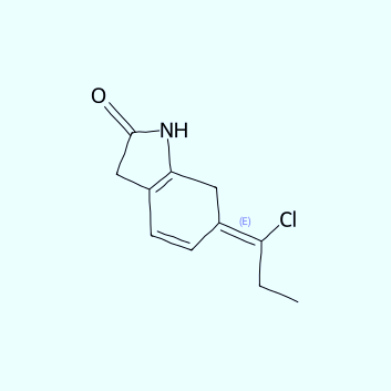 CC/C(Cl)=C1\C=CC2=C(C1)NC(=O)C2